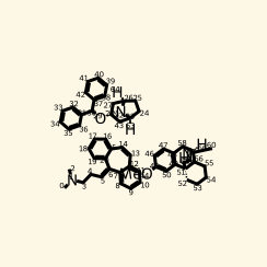 CN(C)CCC=C1c2ccccc2C=Cc2ccccc21.CN1[C@@H]2CC[C@H]1C[C@@H](OC(c1ccccc1)c1ccccc1)C2.COc1ccc2c(c1)[C@]13CCCC[C@@H]1[C@H](C2)N(C)CC3